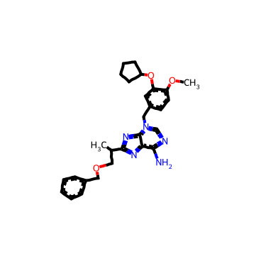 COc1ccc(Cn2cnc(N)c3nc(C(C)COCc4ccccc4)nc2-3)cc1OC1CCCC1